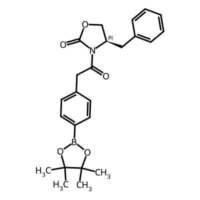 CC1(C)OB(c2ccc(CC(=O)N3C(=O)OC[C@H]3Cc3ccccc3)cc2)OC1(C)C